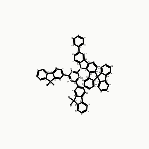 CC1(C)c2ccccc2-c2ccc(-c3nc(-c4ccc5c(c4)C(C)(C)c4ccccc4-5)nc(-n4c5ccc(-c6ccccc6)cc5c5ccc6c(c54)-c4ccccc4C64c5ccccc5-c5ccccc54)n3)cc21